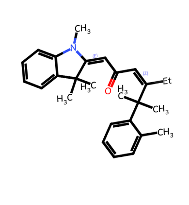 CC/C(=C/C(=O)/C=C1/N(C)c2ccccc2C1(C)C)C(C)(C)c1ccccc1C